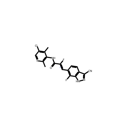 Cc1ncc(Cl)c(C)c1NC(=O)/C(F)=C/c1ccc2c(C#N)n[nH]c2c1F